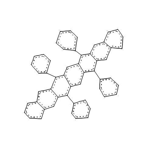 c1ccc(-c2c3cc4ccccc4cc3c(-c3ccccc3)c3cc4c(-c5ccccc5)c5cc6ccccc6cc5c(-c5ccccc5)c4cc23)cc1